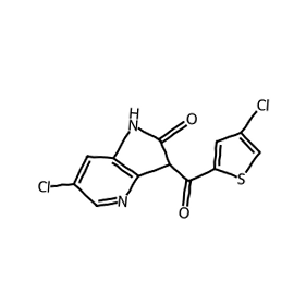 O=C1Nc2cc(Cl)cnc2C1C(=O)c1cc(Cl)cs1